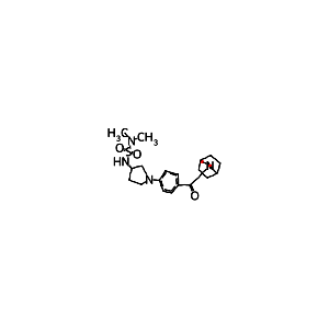 CN(C)S(=O)(=O)N[C@@H]1CCN(c2ccc(C(=O)N3CC4CCC(CC4)C3)cc2)C1